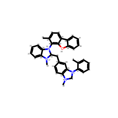 Cc1ccccc1N1CN(C)c2ccc(CC3N(C)c4ccccc4N3c3c(C)ccc4c3oc3ccccc34)cc21